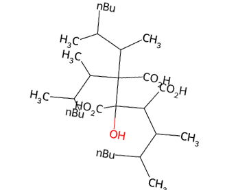 CCCCC(C)C(C)C(C(=O)O)C(O)(C(=O)O)C(C(=O)O)(C(C)C(C)CCCC)C(C)C(C)CCCC